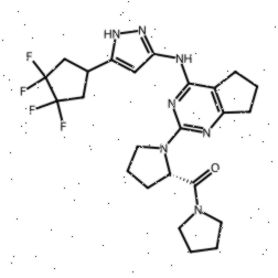 O=C([C@@H]1CCCN1c1nc2c(c(Nc3cc(C4CC(F)(F)C(F)(F)C4)[nH]n3)n1)CCC2)N1CCCC1